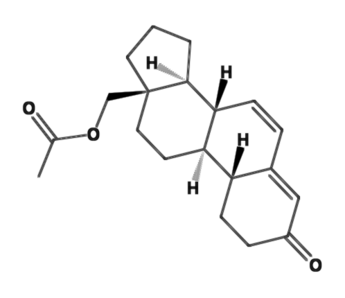 CC(=O)OC[C@@]12CCC[C@H]1[C@@H]1C=CC3=CC(=O)CC[C@@H]3[C@H]1CC2